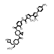 Cn1c(-c2cn(-c3ccc(N)cn3)nc2C(F)(F)F)cnc1C(=O)Nc1ccc(C(=O)N2CCN(C(=O)C3CC[N+](CC(=O)O)(CC4CNC4)CC3)C3(CC3)C2)c(Cl)c1